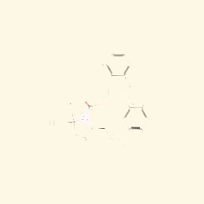 CC[C@H](C[C@H]1COC(C)(C)N1C(=O)OC(C)(C)C)Oc1cccc(OCc2ccccc2)c1